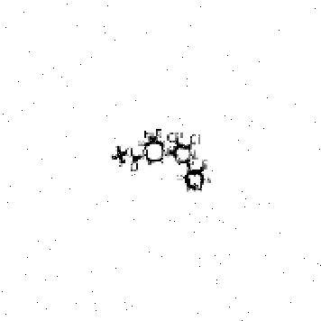 CC(C)(C)OC(=O)N1CCN(c2nc(-c3ccncc3F)nc(Cl)c2Cl)CC(F)(F)C1